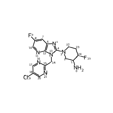 NC1CN(c2nc3cc(F)cnc3n2Cc2ncc(Cl)cn2)CCC1F